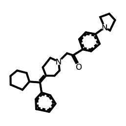 O=C(CN1CCC(=C(c2ccccc2)C2CCCCC2)CC1)c1ccc(N2CCCC2)cc1